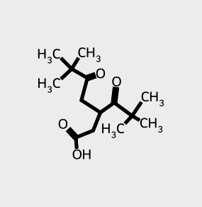 CC(C)(C)C(=O)CC(CC(=O)O)C(=O)C(C)(C)C